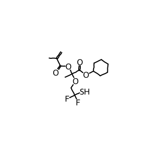 C=C(C)C(=O)OC(C)(OCC(F)(F)S)C(=O)OC1CCCCC1